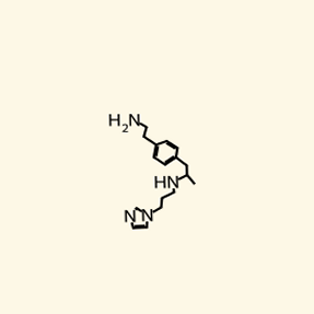 CC(Cc1ccc(CCN)cc1)NCCCn1ccnc1